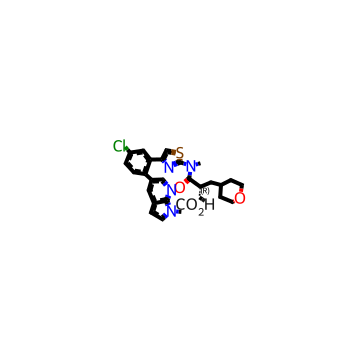 CN(C(=O)[C@@H](CC(=O)O)CC1CCOCC1)c1nc(-c2cc(Cl)ccc2-c2cnc3c(ccn3C)c2)cs1